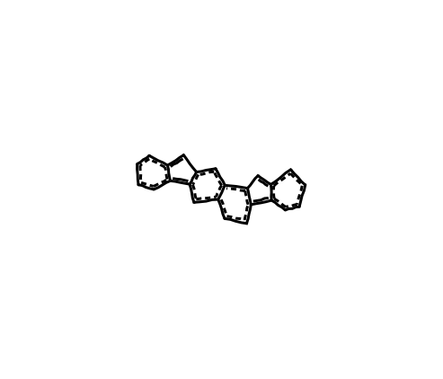 C1=c2ccccc2=c2cc3ccc4c(c3cc21)C=c1ccccc1=4